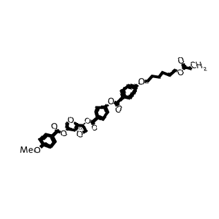 C=CC(=O)OCCCCCCOc1ccc(C(=O)Oc2ccc(C(=O)O[C@H]3COC4C3OC[C@@H]4OC(=O)c3ccc(OC)cc3)cc2)cc1